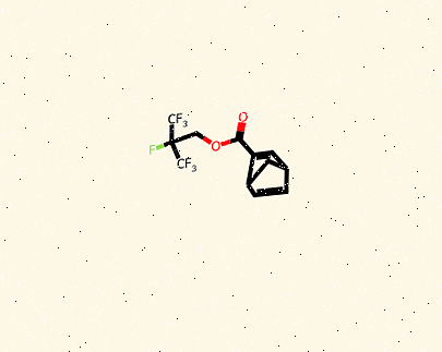 O=C(OCC(F)(C(F)(F)F)C(F)(F)F)C1=CC2C=CC1C2